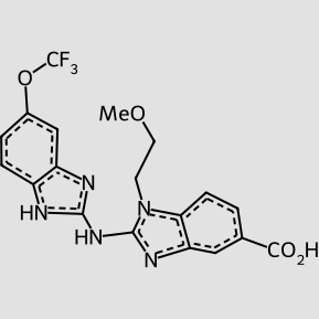 COCCn1c(Nc2nc3cc(OC(F)(F)F)ccc3[nH]2)nc2cc(C(=O)O)ccc21